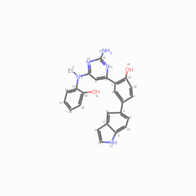 CCN(c1cc(-c2cc(-c3ccc4[nH]ccc4c3)ccc2O)nc(N)n1)c1ccccc1O